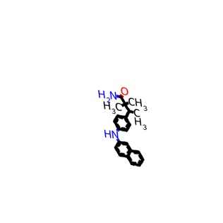 CC(c1ccc(Nc2ccc3ccccc3c2)cc1)C(C)(C)C(N)=O